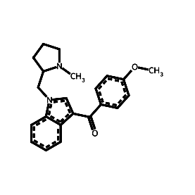 COc1ccc(C(=O)c2cn(CC3CCCN3C)c3ccccc23)cc1